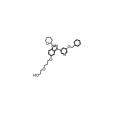 OCCOCCCOc1ccc2c(c1)c(-c1cncc(OCc3ccccc3)c1)nn2C1CCCCO1